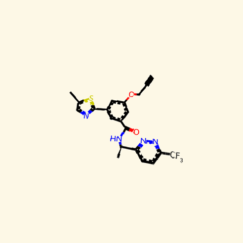 C#CCOc1cc(C(=O)N[C@H](C)c2ccc(C(F)(F)F)nn2)cc(-c2ncc(C)s2)c1